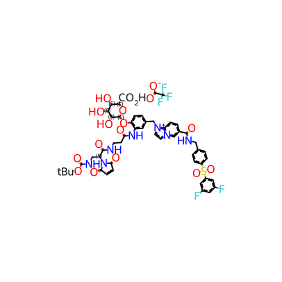 CC(C)(C)OC(=O)NC[C@@H](C(=O)NCCC(=O)Nc1cc(C[n+]2ccn3cc(C(=O)NCc4ccc(S(=O)(=O)c5cc(F)cc(F)c5)cc4)ccc32)ccc1O[C@@H]1O[C@H](C(=O)O)[C@@H](O)[C@H](O)[C@H]1O)N1C(=O)C=CC1=O.O=C([O-])C(F)(F)F